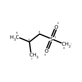 [CH2]S(=O)(=O)CC(C)C